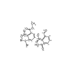 COC(=O)c1cccc(C(Br)Br)c1[N+](=O)[O-].O=Cc1cccc(C(=O)O)c1[N+](=O)[O-]